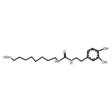 CCCCCCCCCCCCCCCCCCNC(=O)NCCc1ccc(O)c(O)c1